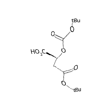 CC(C)(C)OC(=O)C[C@H](OC(=O)OC(C)(C)C)C(=O)O